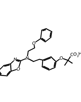 CC(C)(Oc1cccc(CCN(CCOc2ccccc2)c2nc3ccccc3o2)c1)C(=O)O